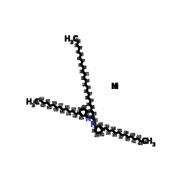 CCCCCCCCCCCCCCCCCCCCCCC=CC(C=Nc1cccc(CCCCCCCCCCCCC)c1)=Nc1cccc(CCCCCCCCCCCCC)c1.[Ni]